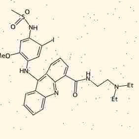 CCN(CC)CCNC(=O)c1cccc2c(Nc3cc(I)c(NS(C)(=O)=O)cc3OC)c3ccccc3nc12